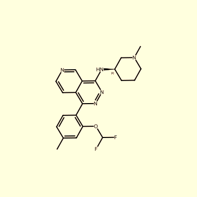 Cc1ccc(-c2nnc(N[C@@H]3CCCN(C)C3)c3cnccc23)c(OC(F)F)c1